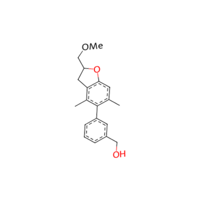 COCC1Cc2c(cc(C)c(-c3cccc(CO)c3)c2C)O1